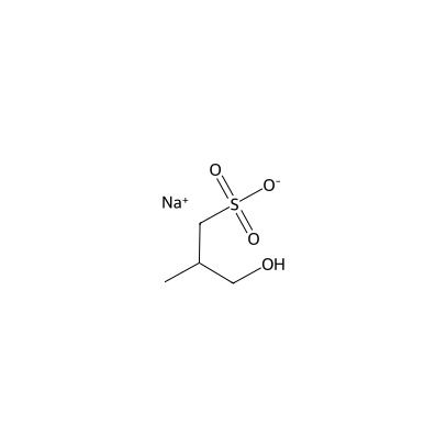 CC(CO)CS(=O)(=O)[O-].[Na+]